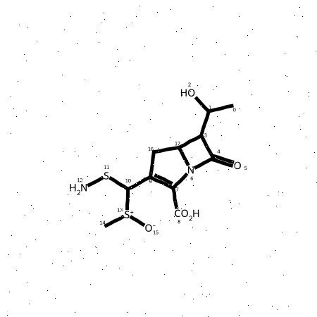 CC(O)C1C(=O)N2C(C(=O)O)=C(C(SN)[S+](C)[O-])CC12